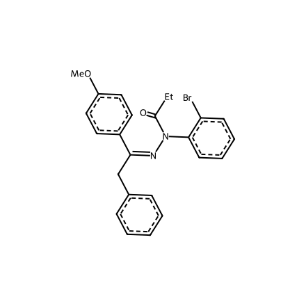 CCC(=O)N(N=C(Cc1ccccc1)c1ccc(OC)cc1)c1ccccc1Br